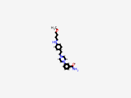 COCCCCNC1CCC(CCN2CCN(c3cccc(C(N)=O)c3)CC2)CC1